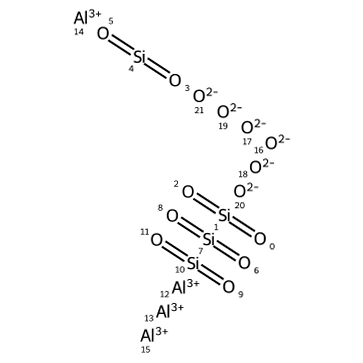 O=[Si]=O.O=[Si]=O.O=[Si]=O.O=[Si]=O.[Al+3].[Al+3].[Al+3].[Al+3].[O-2].[O-2].[O-2].[O-2].[O-2].[O-2]